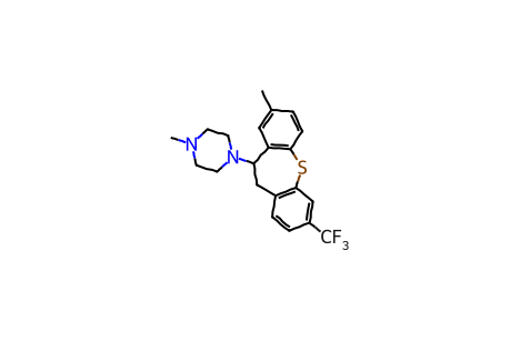 Cc1ccc2c(c1)C(N1CCN(C)CC1)Cc1ccc(C(F)(F)F)cc1S2